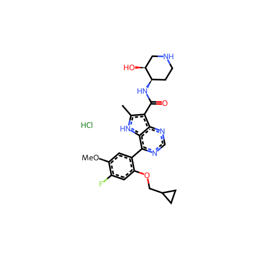 COc1cc(-c2ncnc3c(C(=O)N[C@@H]4CCNC[C@@H]4O)c(C)[nH]c23)c(OCC2CC2)cc1F.Cl